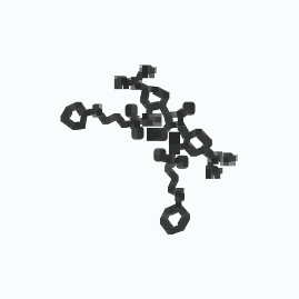 CC(C)N(c1ccc(C2=C(O)/C(=C3/C=CC(=[N+](C(C)C)C(C)C)C=C3NS(=O)(=O)CCCSc3ccccc3)C2=O)c(NS(=O)(=O)CCCSc2ccccc2)c1)C(C)C